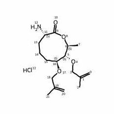 C=C(C)CO[C@H]1[C@H](C)OC(=O)[C@@H](N)CCC[C@@H]1OCC(=C)C.Cl